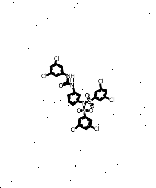 O=C(Nc1cc(Cl)cc(Cl)c1)Nc1cccc(N(S(=O)(=O)c2cc(Cl)cc(Cl)c2)S(=O)(=O)c2cc(Cl)cc(Cl)c2)c1